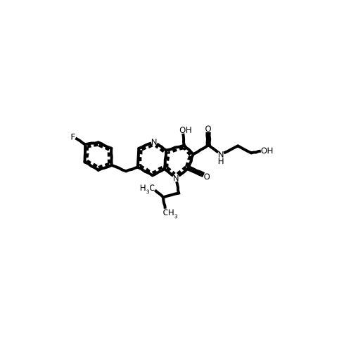 CC(C)Cn1c(=O)c(C(=O)NCCO)c(O)c2ncc(Cc3ccc(F)cc3)cc21